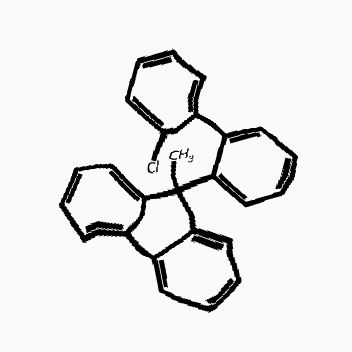 CC1(c2ccccc2-c2ccccc2Cl)c2ccccc2-c2ccccc21